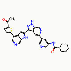 CC(=O)c1ccc(-c2cncc3[nH]c(-c4n[nH]c5cnc(-c6cncc(NC(=O)C7CCCCC7)c6)cc45)cc23)s1